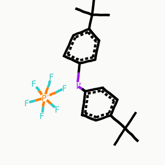 CC(C)(C)c1ccc([I+]c2ccc(C(C)(C)C)cc2)cc1.F[P-](F)(F)(F)(F)F